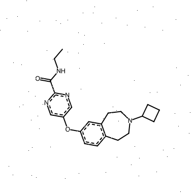 CCNC(=O)c1ncc(Oc2ccc3c(c2)CCN(C2CCC2)CC3)cn1